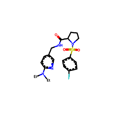 CCN(CC)c1ccc(CNC(=O)C2CCCN2S(=O)(=O)c2ccc(F)cc2)cn1